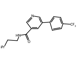 CC(C)CCNC(=O)c1cncc(-c2ccc(C(F)(F)F)cc2)c1